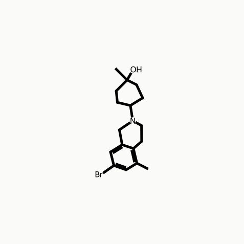 Cc1cc(Br)cc2c1CCN(C1CCC(C)(O)CC1)C2